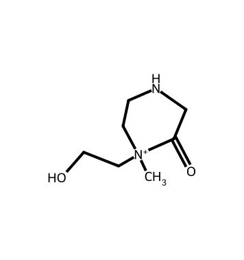 C[N+]1(CCO)CCNCC1=O